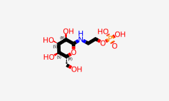 O=P(O)(O)OCCNC1O[C@H](CO)[C@@H](O)[C@H](O)[C@H]1O